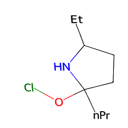 CCCC1(OCl)CCC(CC)N1